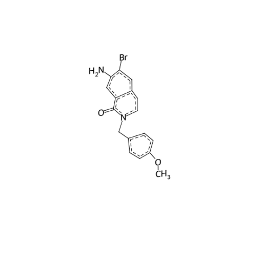 COc1ccc(Cn2ccc3cc(Br)c(N)cc3c2=O)cc1